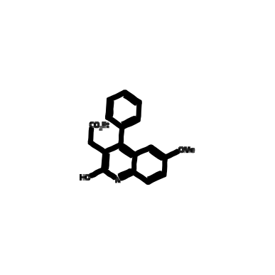 CCOC(=O)Cc1c(O)nc2ccc(OC)cc2c1-c1ccccc1